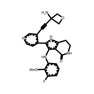 COc1c(F)cccc1Nc1c(-c2ccncc2C#CC2(N)COC2)[nH]c2c1C(=O)NCC2